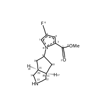 COC(=O)c1cc(F)cn1C1C[C@H]2CNC[C@H]2C1